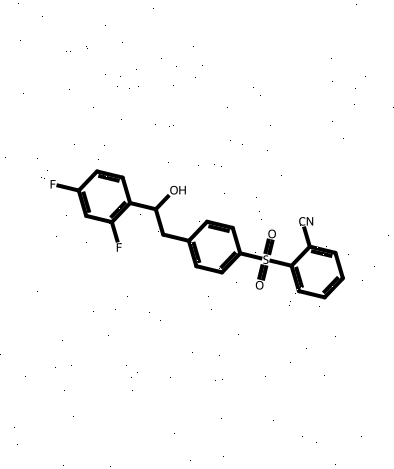 N#Cc1ccccc1S(=O)(=O)c1ccc(CC(O)c2ccc(F)cc2F)cc1